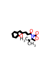 CC(C)[C@H]1COC(=O)N1C(=O)/C=C/c1cc2ccccc2o1